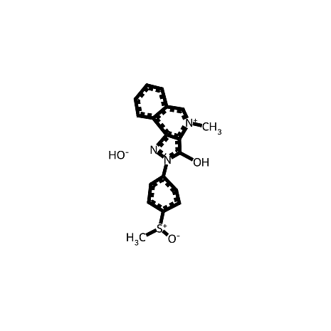 C[n+]1cc2ccccc2c2nn(-c3ccc([S+](C)[O-])cc3)c(O)c21.[OH-]